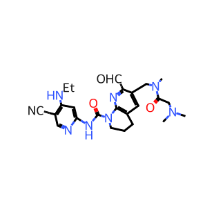 CCNc1cc(NC(=O)N2CCCc3cc(CN(C)C(=O)CN(C)C)c(C=O)nc32)ncc1C#N